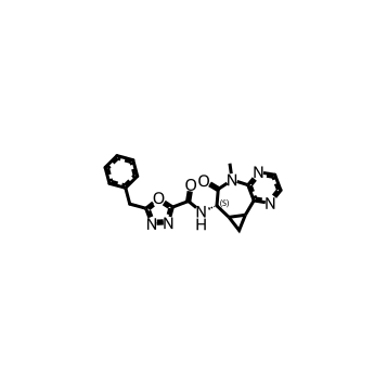 CN1C(=O)[C@@H](NC(=O)c2nnc(Cc3ccccc3)o2)C2CC2c2nccnc21